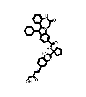 O=C(/C=C/c1ccc2[nH]c(C3(NC(=O)c4ccc5c(c4)N4CC(=O)Nc6ccccc6C4C5C4CCCCC4)CCCC3)nc2c1)CO